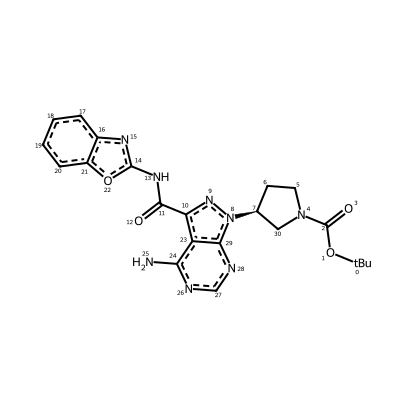 CC(C)(C)OC(=O)N1CC[C@H](n2nc(C(=O)Nc3nc4ccccc4o3)c3c(N)ncnc32)C1